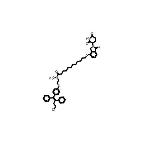 CN(CCOc1ccc(/C(=C(/CCCl)c2ccccc2)c2ccccc2)cc1)C(=O)CCCCCCCCCCCSc1cccc2c1CN(C1CCC(=O)NC1=O)C2=O